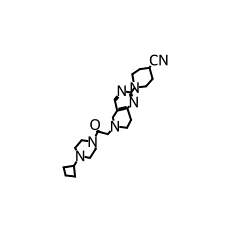 N#CC1CCN(c2ncc3c(n2)CCN(CC(=O)N2CCN(C4CCC4)CC2)C3)CC1